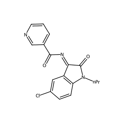 CCCN1C(=O)/C(=N/C(=O)c2cccnc2)c2cc(Cl)ccc21